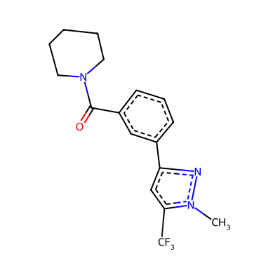 Cn1nc(-c2cccc(C(=O)N3CCCCC3)c2)cc1C(F)(F)F